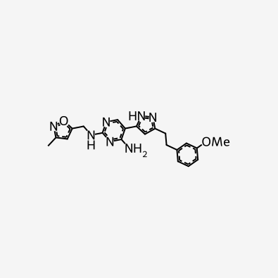 COc1cccc(CCc2cc(-c3cnc(NCc4cc(C)no4)nc3N)[nH]n2)c1